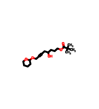 CC(C)(C)C(=O)OCCCC(O)CC#CCOC1CCCCO1